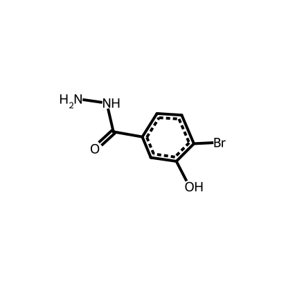 NNC(=O)c1ccc(Br)c(O)c1